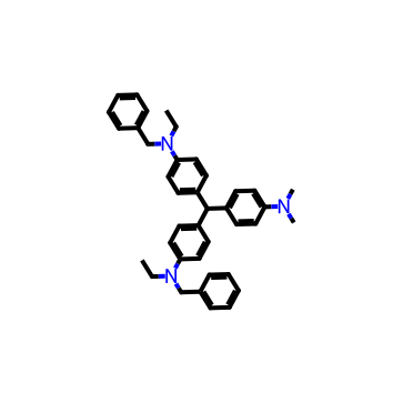 CCN(Cc1ccccc1)c1ccc(C(c2ccc(N(C)C)cc2)c2ccc(N(CC)Cc3ccccc3)cc2)cc1